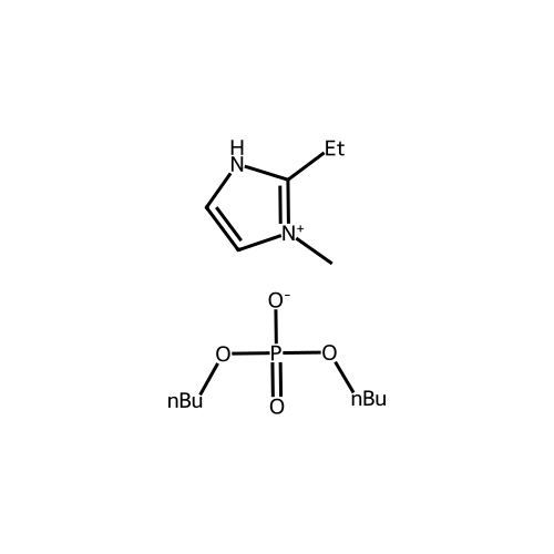 CCCCOP(=O)([O-])OCCCC.CCc1[nH]cc[n+]1C